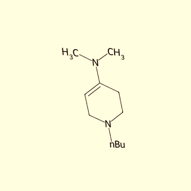 CCCCN1CC=C(N(C)C)CC1